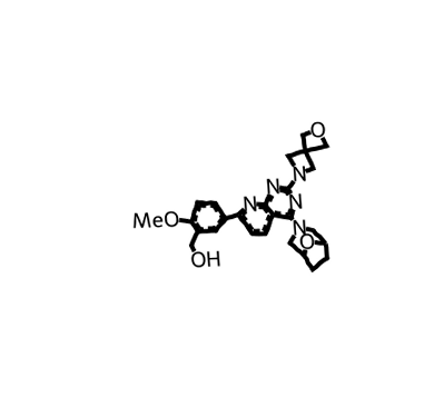 COc1ccc(-c2ccc3c(N4CC5CCC(C4)O5)nc(N4CC5(COC5)C4)nc3n2)cc1CO